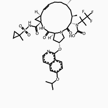 CC(C)Oc1ccc2c(O[C@@H]3C[C@H]4C(=O)N[C@]5(C(=O)NS(=O)(=O)C6(C)CC6)C[C@H]5C=CCC[C@H](C)C[C@@H](C)[C@H](N(C(=O)O)C(C)(C)C(F)(F)F)C(=O)N4C3)nccc2c1